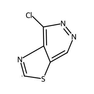 Clc1nncc2s[c]nc12